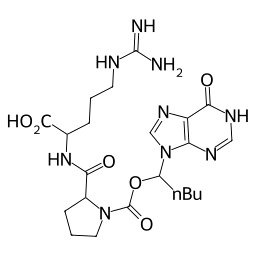 CCCCC(OC(=O)N1CCCC1C(=O)NC(CCCNC(=N)N)C(=O)O)n1cnc2c(=O)[nH]cnc21